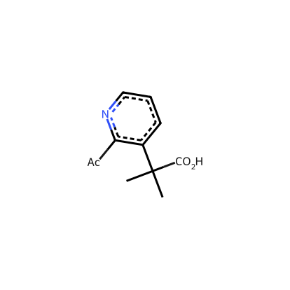 CC(=O)c1ncccc1C(C)(C)C(=O)O